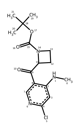 CNc1cc(Cl)ncc1C(=O)C1CCN1C(=O)OC(C)(C)C